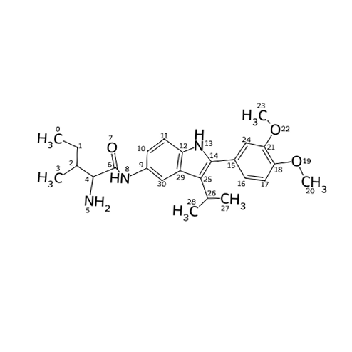 CCC(C)C(N)C(=O)Nc1ccc2[nH]c(-c3ccc(OC)c(OC)c3)c(C(C)C)c2c1